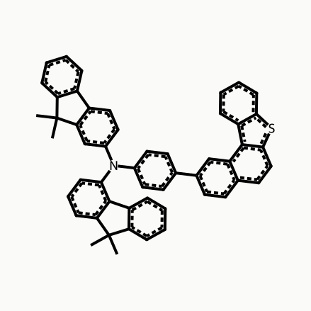 CC1(C)c2ccccc2-c2ccc(N(c3ccc(-c4ccc5ccc6sc7ccccc7c6c5c4)cc3)c3cccc4c3-c3ccccc3C4(C)C)cc21